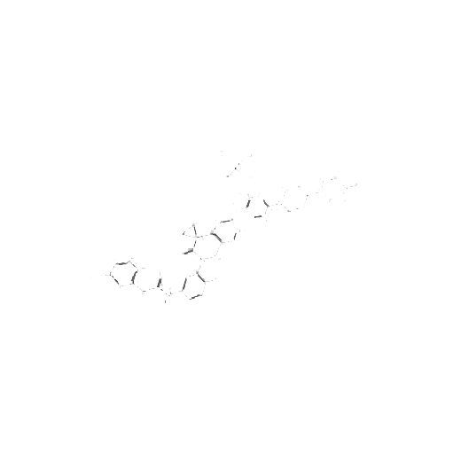 Cc1ccc(NC(=O)Cc2cc(F)cc(F)c2)cc1N1Cc2cnc(Nc3ccc(N4CCC(N5CCN(C)CC5)CC4)nc3OCC(F)(F)F)nc2C2(CC2)C1=O